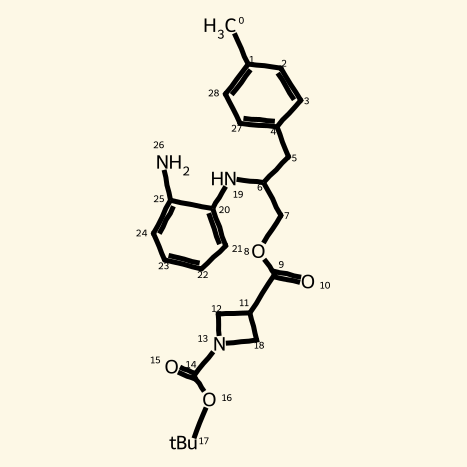 Cc1ccc(CC(COC(=O)C2CN(C(=O)OC(C)(C)C)C2)Nc2ccccc2N)cc1